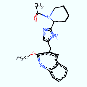 COc1nc2ccccc2cc1-c1cnc(C2CCCCN2C(C)=O)[nH]1